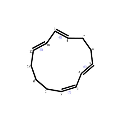 [CH]1C/C=C\C=C\CC/C=C/C=C/C1